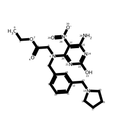 CCOC(=O)CN(Cc1cccc(CN2CCCC2)c1)c1nc(O)nc(N)c1[N+](=O)[O-]